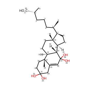 C[C@H](CCC[C@@H](C)[C@H]1CC[C@H]2[C@H]3[C@H](CC[C@]12C)[C@@]1(C)CCC(O)(O)CC1=CC3(O)O)C(=O)O